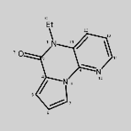 CCn1c(=O)c2cccn2c2ncccc21